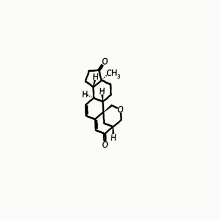 C[C@]12CC[C@H]3[C@@H](C=CC4=CC(=O)[C@H]5COC[C@@]43C5)[C@@H]1CCC2=O